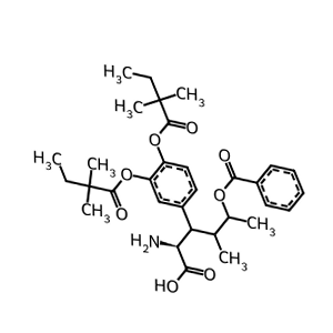 CCC(C)(C)C(=O)Oc1ccc(C(C(C)C(C)OC(=O)c2ccccc2)[C@H](N)C(=O)O)cc1OC(=O)C(C)(C)CC